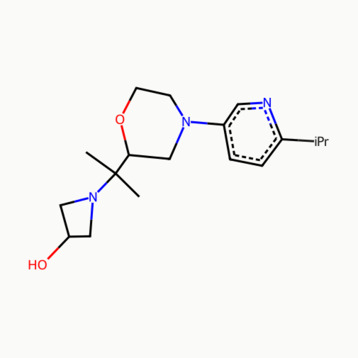 CC(C)c1ccc(N2CCOC(C(C)(C)N3CC(O)C3)C2)cn1